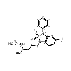 CC(C)(C)C(CCCN1c2ccc(Cl)cc2N(c2ccccc2)S1(=O)=O)NC(=O)O